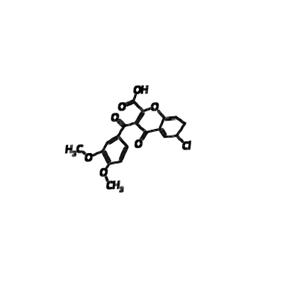 COc1ccc(C(=O)c2c(C(=O)O)oc3c(c2=O)=CC(Cl)CC=3)cc1OC